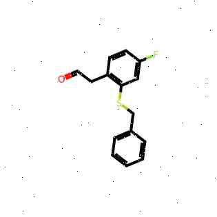 O=CCc1ccc(F)cc1SCc1ccccc1